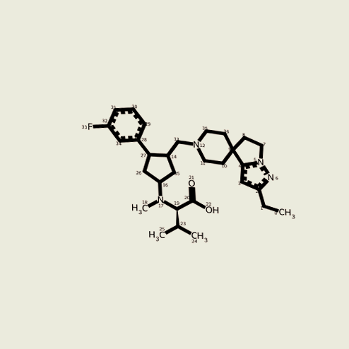 CCc1cc2n(n1)CCC21CCN(CC2CC(N(C)[C@@H](C(=O)O)C(C)C)CC2c2cccc(F)c2)CC1